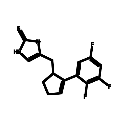 Fc1cc(F)c(F)c(C2=CCCC2CC2=CNC(=S)[N]2)c1